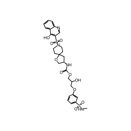 CNS(=O)(=O)c1cccc(OCC(O)COC(=O)N[C@H]2COC3(CCN(S(=O)(=O)c4cnc5ccccc5c4O)CC3)C2)c1